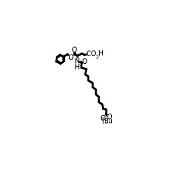 CC(C)(C)OC(=O)CCCCCCCCCCCCCCC(=O)NC(CCC(=O)O)C(=O)OCc1ccccc1